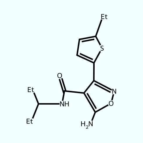 CCc1ccc(-c2noc(N)c2C(=O)NC(CC)CC)s1